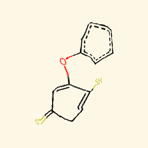 S=C1C=C(Oc2ccccc2)C(S)=CC1